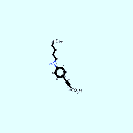 CCCCCCCCCCCCCCNc1ccc(C#CC(=O)O)cc1